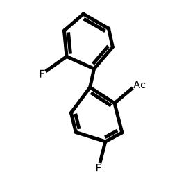 CC(=O)c1cc(F)ccc1-c1ccccc1F